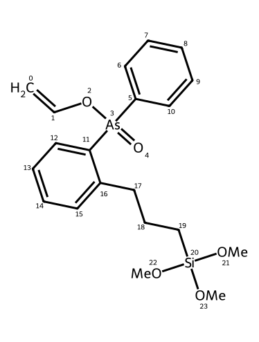 C=CO[As](=O)(c1ccccc1)c1ccccc1CCC[Si](OC)(OC)OC